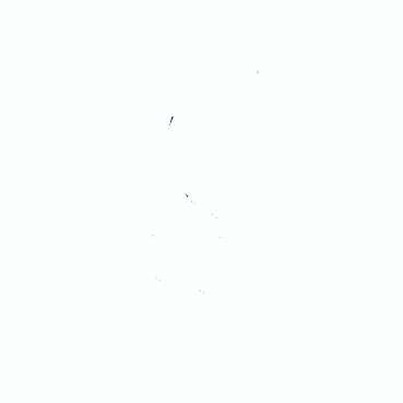 O=P(O)(O)C(CC1CC1)S(=O)(=O)C[C@H]1O[C@@H](n2nnc3c(NC4CCCC4)nc(Cl)nc32)[C@H](O)[C@@H]1O